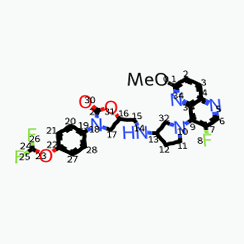 COc1ccc2ncc(F)c(N3CCC(NCC4CN(c5ccc(OC(F)F)cc5)C(=O)O4)C3)c2n1